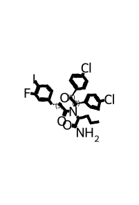 CCCC(C(N)=O)N1C(=O)[C@H](Cc2ccc(I)c(F)c2)O[C@@H](c2ccc(Cl)cc2)[C@H]1c1ccc(Cl)cc1